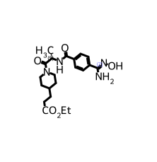 CCOC(=O)CCC1CCN(C(=O)[C@H](C)NC(=O)c2ccc(/C(N)=N/O)cc2)CC1